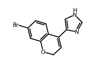 Brc1ccc2c(c1)OCC=C2c1c[nH]cn1